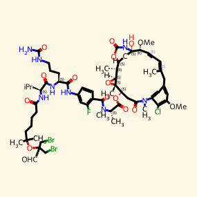 COc1cc2cc(c1Cl)N(C)C(=O)C[C@H](OC(=O)[C@H](C)N(C)C(=O)c1ccc(NC(=O)[C@H](CCCNC(N)=O)NC(=O)[C@@H](NC(=O)CCCCC(C)(C)OC(C=O)(CBr)CBr)C(C)C)cc1F)[C@]1(C)O[C@H]1[C@H](C)[C@@H]1C[C@@](O)(NC(=O)O1)[C@H](OC)/C=C/C=C(\C)C2